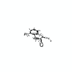 C=C(C)C(N)=O.Cc1ccccc1N